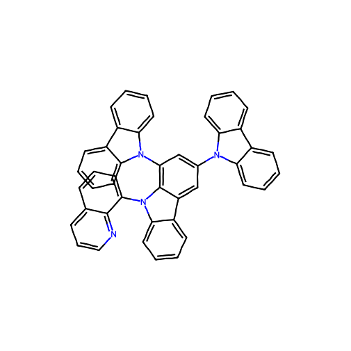 c1cnc2c(-n3c4ccccc4c4cc(-n5c6ccccc6c6ccccc65)cc(-n5c6ccccc6c6ccccc65)c43)cccc2c1